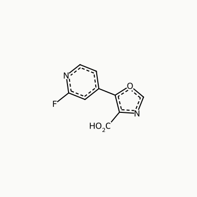 O=C(O)c1ncoc1-c1ccnc(F)c1